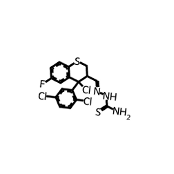 NC(=S)NN=CC1CSc2ccc(F)cc2C1(Cl)c1cc(Cl)ccc1Cl